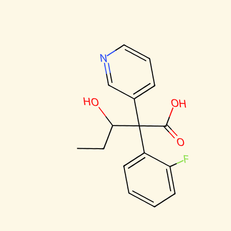 CCC(O)C(C(=O)O)(c1cccnc1)c1ccccc1F